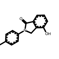 Cc1ccc(N2Cc3c(O)cccc3C2=O)cc1